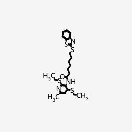 CCSc1cc(C)nc(SCC)c1NC(=O)CCCCCCSc1nc2ccccc2s1